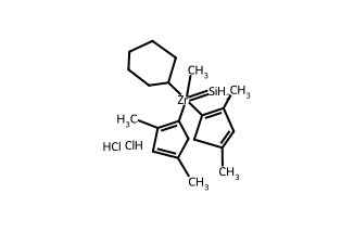 CC1=CC(C)=[C]([Zr]([CH3])(=[SiH2])([C]2=C(C)C=C(C)C2)[CH]2CCCCC2)C1.Cl.Cl